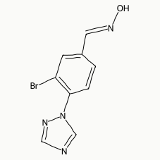 O/N=C/c1ccc(-n2cncn2)c(Br)c1